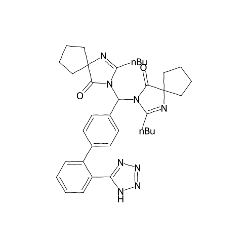 CCCCC1=NC2(CCCC2)C(=O)N1C(c1ccc(-c2ccccc2-c2nnn[nH]2)cc1)N1C(=O)C2(CCCC2)N=C1CCCC